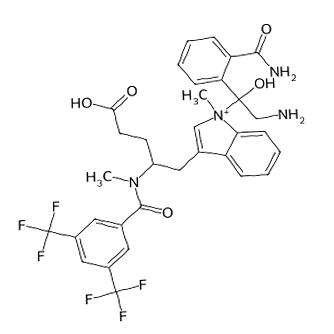 CN(C(=O)c1cc(C(F)(F)F)cc(C(F)(F)F)c1)C(CCC(=O)O)CC1=C[N+](C)(C(O)(CN)c2ccccc2C(N)=O)c2ccccc21